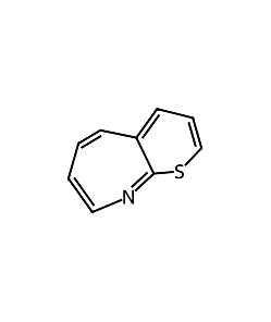 C1=CN=C2SC=CC=C2C=C1